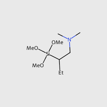 CCC(CN(C)C)[Si](OC)(OC)OC